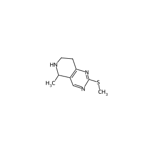 CSc1ncc2c(n1)CCNC2C